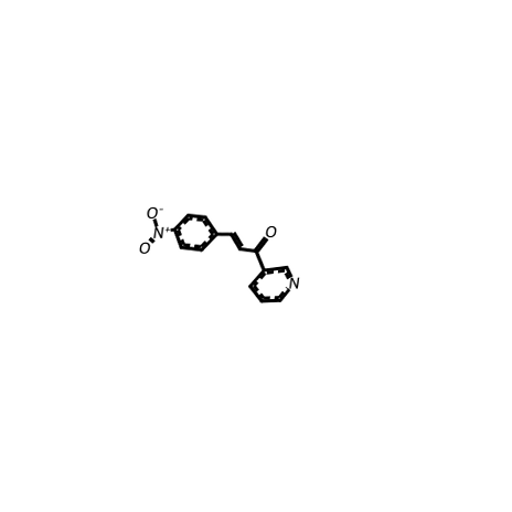 O=C(C=Cc1ccc([N+](=O)[O-])cc1)c1cccnc1